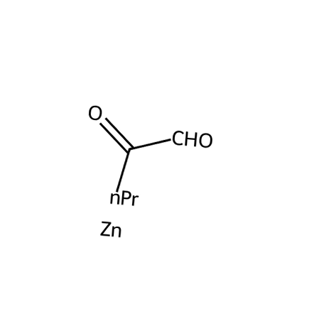 CCCC(=O)C=O.[Zn]